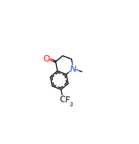 CN1CCC(=O)c2ccc(C(F)(F)F)cc21